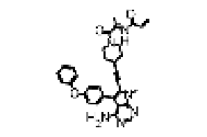 C=CC(=O)N[C@H](C)C(=O)N1CCC(C#Cc2c(-c3ccc(Oc4ccccc4)cc3)c3c(N)ncnc3n2C)CC1